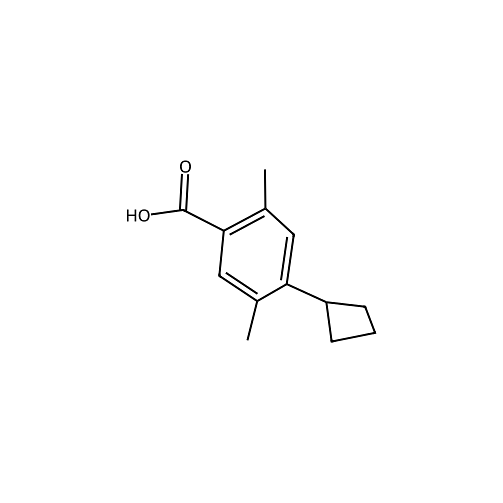 Cc1cc(C2CCC2)c(C)cc1C(=O)O